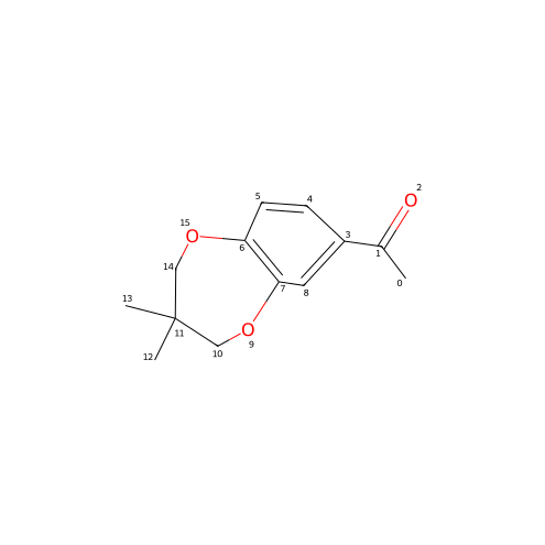 CC(=O)c1ccc2c(c1)OCC(C)(C)CO2